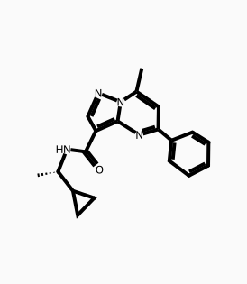 Cc1cc(-c2ccccc2)nc2c(C(=O)N[C@@H](C)C3CC3)cnn12